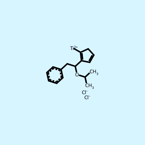 CC(C)OC(Cc1ccccc1)C1=[C]([Ti+2])CC=C1.[Cl-].[Cl-]